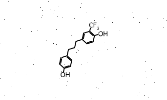 Oc1ccc(CCCc2ccc(O)c(C(F)(F)F)c2)cc1